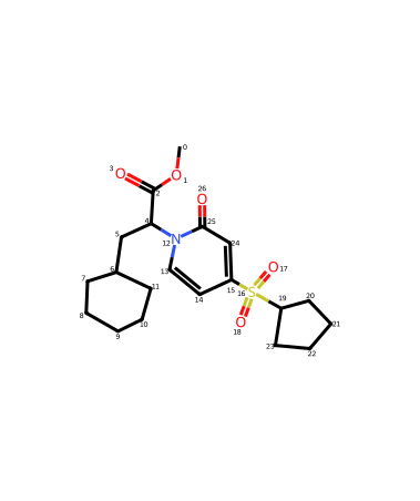 COC(=O)C(CC1CCCCC1)n1ccc(S(=O)(=O)C2CCCC2)cc1=O